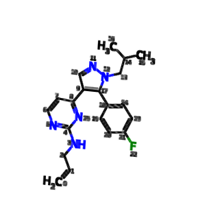 C=CCNc1nccc(-c2cnn(CC(C)C)c2-c2ccc(F)cc2)n1